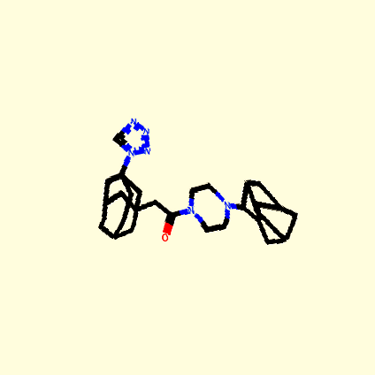 O=C(CC12CC3CC(C1)CC(n1cnnn1)(C3)C2)N1CCN(C2C3CC4CC(C3)CC2C4)CC1